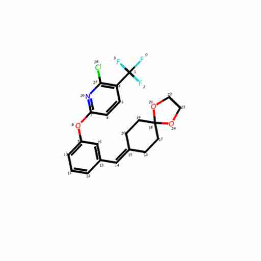 FC(F)(F)c1ccc(Oc2cccc(C=C3CCC4(CC3)OCCO4)c2)nc1Cl